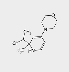 CC(Cl)C1(C)C=C(N2CCOCC2)C=CN1